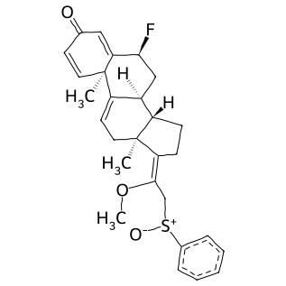 COC(C[S+]([O-])c1ccccc1)=C1CC[C@H]2[C@@H]3C[C@H](F)C4=CC(=O)C=C[C@]4(C)C3=CC[C@]12C